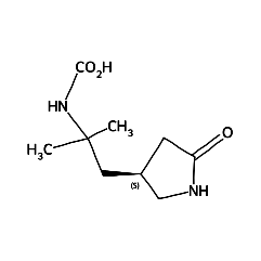 CC(C)(C[C@@H]1CNC(=O)C1)NC(=O)O